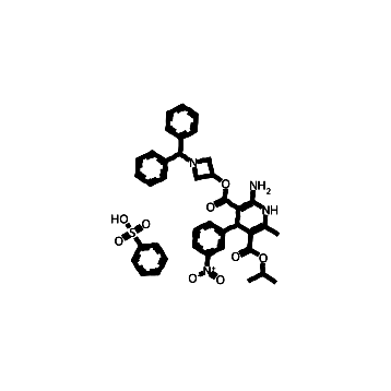 CC1=C(C(=O)OC(C)C)C(c2cccc([N+](=O)[O-])c2)C(C(=O)OC2CN(C(c3ccccc3)c3ccccc3)C2)=C(N)N1.O=S(=O)(O)c1ccccc1